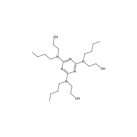 CCCCN(CCO)c1nc(N(CCO)CCCC)nc(N(CCO)CCCC)n1